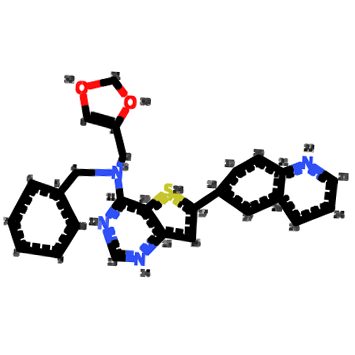 C1=C(CN(Cc2ccccc2)c2ncnc3cc(-c4ccc5ncccc5c4)sc23)OCO1